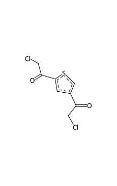 O=C(CCl)c1csc(C(=O)CCl)c1